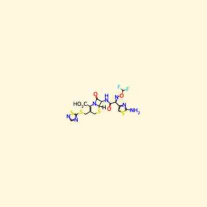 Nc1nc(C(=NOC(F)F)C(=O)NC2C(=O)N3C(C(=O)O)=C(CSc4ncns4)CS[C@@H]23)cs1